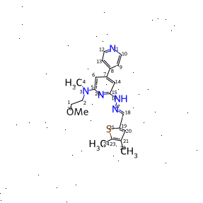 COCCN(C)c1cc(-c2ccncc2)cc(NN=Cc2cc(C)c(C)s2)n1